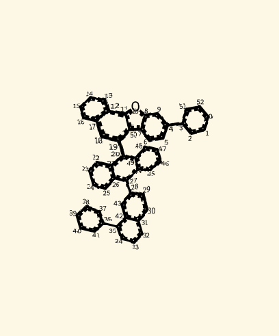 c1ccc(-c2ccc3c(c2)oc2c4ccccc4cc(-c4c5ccccc5c(-c5ccc6cccc(-c7ccccc7)c6c5)c5ccccc45)c32)cc1